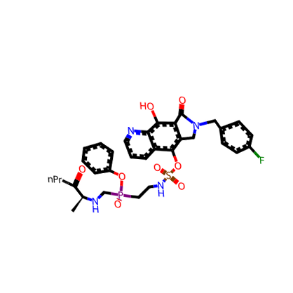 CCCC(=O)[C@H](C)NCP(=O)(CCNS(=O)(=O)Oc1c2c(c(O)c3ncccc13)C(=O)N(Cc1ccc(F)cc1)C2)Oc1ccccc1